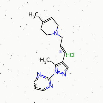 CC1=CCN(C/C=C/c2cnn(-c3ncccn3)c2C)CC1.Cl